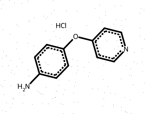 Cl.Nc1ccc(Oc2ccncc2)cc1